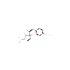 C=CC(O)(C(C)=Cc1ccc(OC)cc1)C(C)CN(C)C